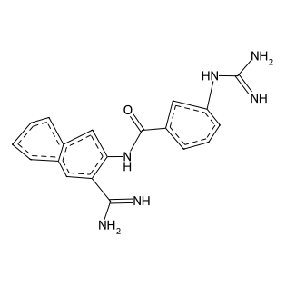 N=C(N)Nc1cccc(C(=O)Nc2cc3ccccc3cc2C(=N)N)c1